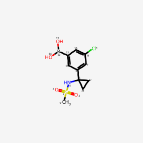 CS(=O)(=O)NC1(c2cc(Cl)cc(B(O)O)c2)CC1